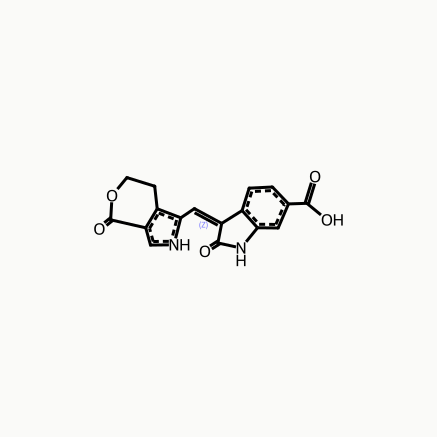 O=C1Nc2cc(C(=O)O)ccc2/C1=C/c1[nH]cc2c1CCOC2=O